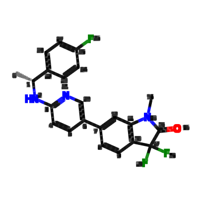 C[C@@H](Nc1ccc(-c2ccc3c(c2)N(C)C(=O)C3(F)F)cn1)c1ccc(F)cc1